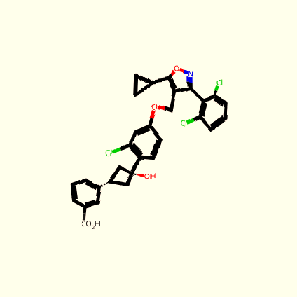 O=C(O)c1cccc([C@H]2C[C@@](O)(c3ccc(OCc4c(-c5c(Cl)cccc5Cl)noc4C4CC4)cc3Cl)C2)c1